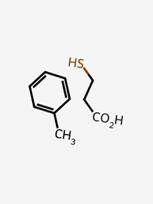 Cc1ccccc1.O=C(O)CCS